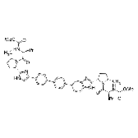 COC(=O)N[C@H](C(=O)N1[C@@H](C)CC[C@H]1c1nc(-c2ccc(-c3ccc(-c4ccc5[nH]c([C@@H]6CC[C@H](C)N6C(=O)[C@@H](NC(=O)OC)C(C)C)nc5c4)cc3)cc2)c[nH]1)C(C)C